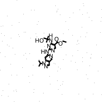 CCOC(=O)c1cnc(Nc2cc3c(cn2)cnn3C(C)C)nc1NC(C)(C)CO